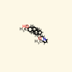 Cc1cccn1CC(=O)[C@H]1CC[C@H]2[C@@H]3CC[C@H]4C[C@](C)(O)CC[C@]4(C)[C@H]3CC[C@]12C